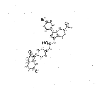 CC(=O)N1CCc2c(c(-c3ccc(Br)cc3)nn2CC(O)CN2CCC(n3c(=O)oc4ccc(Cl)cc43)CC2)C1